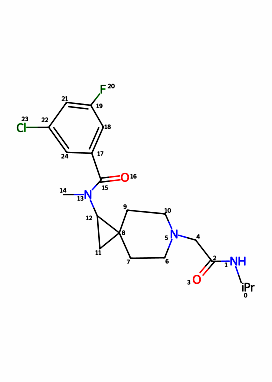 CC(C)NC(=O)CN1CCC2(CC1)CC2N(C)C(=O)c1cc(F)cc(Cl)c1